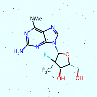 CNc1nc(N)nc2c1ncn2[C@@H]1O[C@H](CO)[C@@H](O)[C@]1(F)C(F)(F)F